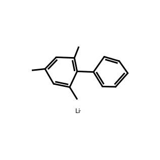 Cc1cc(C)c(-c2ccccc2)c(C)c1.[Li]